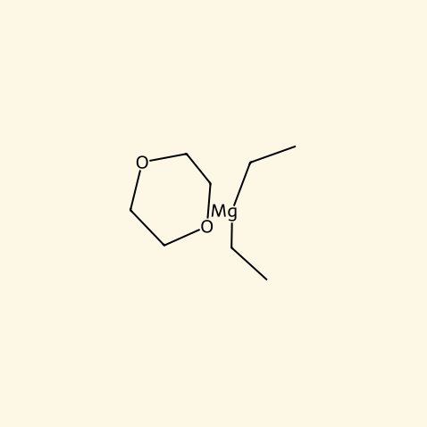 C1COCCO1.C[CH2][Mg][CH2]C